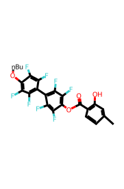 CCCCOc1c(F)c(F)c(-c2c(F)c(F)c(OC(=O)c3ccc(C)cc3O)c(F)c2F)c(F)c1F